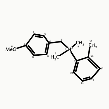 COc1ccc(C[N+](C)(C)c2ccccc2C)cc1